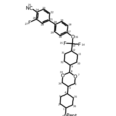 CCCCCC1CCC(C2COC(C3CCC(C(F)(F)Oc4ccc(-c5ccc(C#N)c(F)c5)cc4)CC3)OC2)CC1